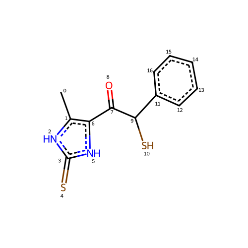 Cc1[nH]c(=S)[nH]c1C(=O)C(S)c1ccccc1